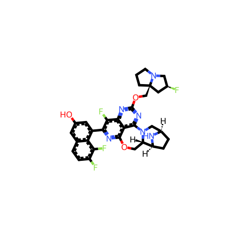 Oc1cc(-c2nc3c4c(nc(OC[C@@]56CCCN5C[C@@H](F)C6)nc4c2F)N2C[C@H]4CC[C@H](N4)[C@@H]2CO3)c2c(F)c(F)ccc2c1